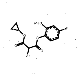 COc1cc(F)ccc1OC(=O)C(C(C)=O)C(=O)OC1CC1